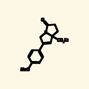 CCOC(=O)C12C=C(c3ccc(OC)cc3)CN1C(=O)CC2